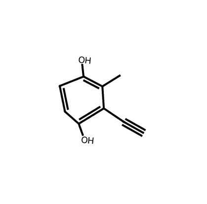 C#Cc1c(O)ccc(O)c1C